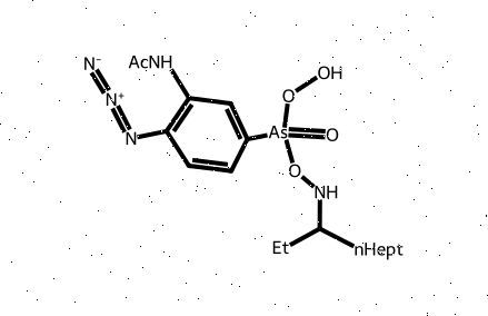 CCCCCCCC(CC)NO[As](=O)(OO)c1ccc(N=[N+]=[N-])c(NC(C)=O)c1